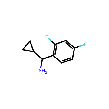 NC(c1ccc(F)cc1F)C1CC1